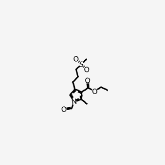 CCOC(=O)c1c(CCCS(C)(=O)=O)cn(C=O)c1C